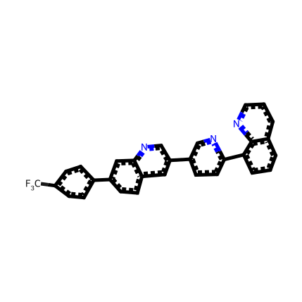 FC(F)(F)c1ccc(-c2ccc3cc(-c4ccc(-c5cccc6cccnc56)nc4)cnc3c2)cc1